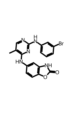 Cc1cnc(Nc2cccc(Br)c2)nc1Nc1ccc2oc(=O)[nH]c2c1